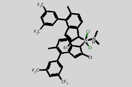 CCC1=Cc2c(ccc(C)c2-c2cc(C(F)(F)F)cc(C(F)(F)F)c2)[CH]1[Zr]([Cl])([Cl])([CH]1C(CC)=Cc2c1ccc(C)c2-c1cc(C(F)(F)F)cc(C(F)(F)F)c1)[SiH](C)C